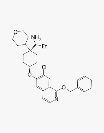 CCC(N)[C@]1(C2CCOCC2)CC[C@H](Oc2cc3ccnc(OCc4ccccc4)c3cc2Cl)CC1